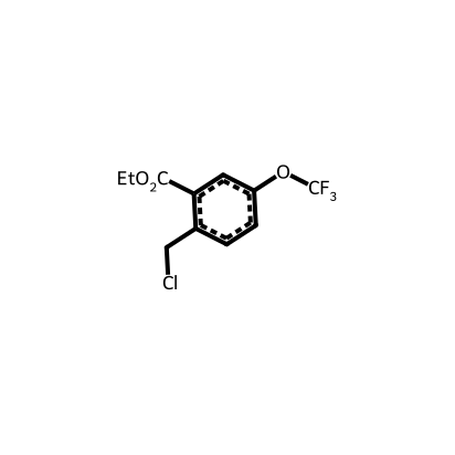 CCOC(=O)c1cc(OC(F)(F)F)ccc1CCl